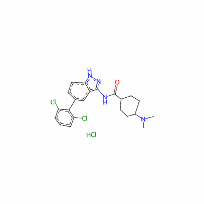 CN(C)C1CCC(C(=O)Nc2n[nH]c3ccc(-c4c(Cl)cccc4Cl)cc23)CC1.Cl